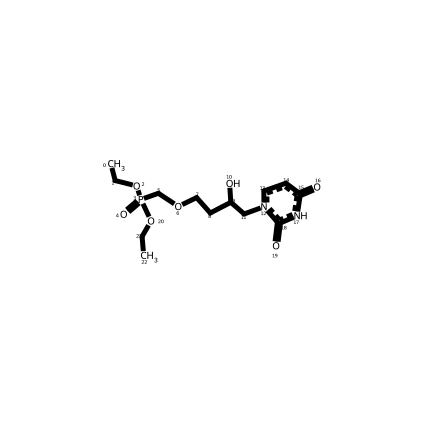 CCOP(=O)(COCCC(O)Cn1ccc(=O)[nH]c1=O)OCC